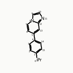 CC(C)c1ccc(-c2ccn3ccnc3c2)cc1